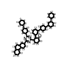 c1ccc(-c2ccc(-c3nc(-c4ccc5c(ccc6ccccc65)c4)nc(-c4cccc5oc6c(-c7ccc(-c8cccc(-c9ccccc9)c8)cc7)cccc6c45)n3)cc2)cc1